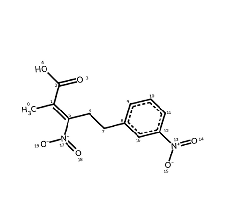 CC(C(=O)O)=C(CCc1cccc([N+](=O)[O-])c1)[N+](=O)[O-]